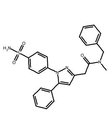 CN(Cc1ccccc1)C(=O)Cc1cc(-c2ccccc2)n(-c2ccc(S(N)(=O)=O)cc2)n1